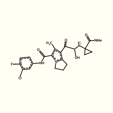 CNC(=O)C1(NC(O)C(=O)c2c(C)c(C(=O)Nc3ccc(F)c(Cl)c3)n3c2CCC3)CC1